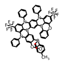 Cc1cc2c3c(c1)Oc1cc4c(cc1B3c1ccccc1O2)B1c2cc3c(cc2N(c2ccccc2)c2cc(S(F)(F)(F)(F)F)cc(c21)N4c1ccccc1)N(c1ccccc1)c1cc(S(F)(F)(F)(F)F)cc2c1B3c1ccccc1O2